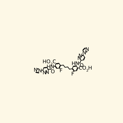 O=C(Nc1cc(CCCCc2cc(C(=O)O)c(NC(=O)c3ccc(-n4ccnc4)nn3)cc2F)c(F)cc1C(=O)O)c1ccc(-n2ccnc2)nn1